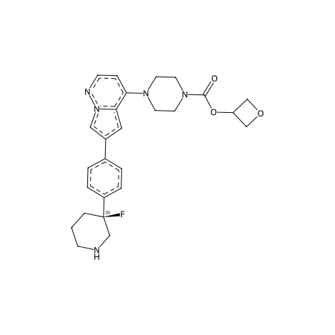 O=C(OC1COC1)N1CCN(c2ccnn3cc(-c4ccc([C@@]5(F)CCCNC5)cc4)cc23)CC1